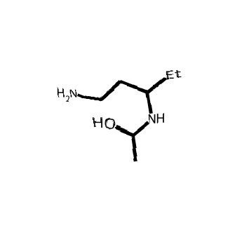 CCC(CCN)NC(C)O